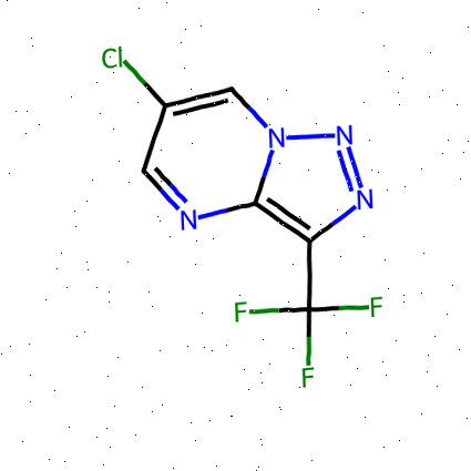 FC(F)(F)c1nnn2cc(Cl)cnc12